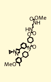 COC(=O)NCCNC(=O)O[C@H]1CC[C@H](C(=O)N(C[C@H]2CC[C@H](c3ccc(OC)c(C)c3)CC2)c2cccc(-c3cnn(C4CC4)c3)c2)CC1